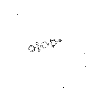 O=S(=O)(c1ccccc1)N1CCN(c2ncc(Br)cn2)CC1